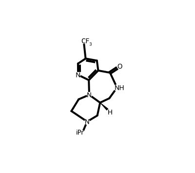 CC(C)N1CCN2c3ncc(C(F)(F)F)cc3C(=O)NC[C@@H]2C1